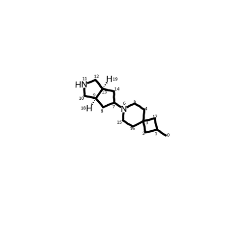 CC1CC2(CCN(C3C[C@H]4CNC[C@H]4C3)CC2)C1